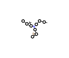 Cc1ccc(-c2cccc(-c3ccc(N(c4ccc(-c5cccc6c5sc5ccccc56)cc4)c4ccc5c(c4)C(C)(C)c4cc(-c6ccccc6)ccc4-5)cc3)c2)cc1